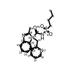 CCCCS(=O)(=O)NC(=O)[N+]1(Cc2ccccn2)C(C)=Nc2ccccc21